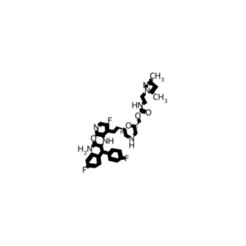 Cc1cc(C)n(CCNC(=O)OC[C@@H]2CNC[C@@H](CCc3c(F)cncc3N[C@H](C(N)=O)C(c3ccc(F)cc3)c3ccc(F)cc3)O2)n1